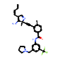 C=C/C=C\C1=C(N)C(C)(C#Cc2cc(C(=O)Nc3cc(CN4CCCC4)cc(C(F)(F)F)c3)ccc2C)N=C1